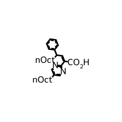 CCCCCCCCc1cnc(/C(=C\C(CCCCCCCC)c2ccccc2)C(=O)O)nc1